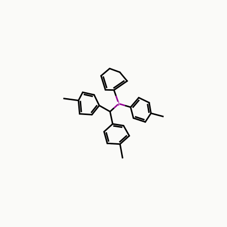 Cc1ccc(C(c2ccc(C)cc2)I(C2=CCCC=C2)c2ccc(C)cc2)cc1